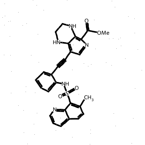 COC(=O)c1ncc(C#Cc2ccccc2NS(=O)(=O)c2c(C)ccc3cccnc23)c2c1NCCN2